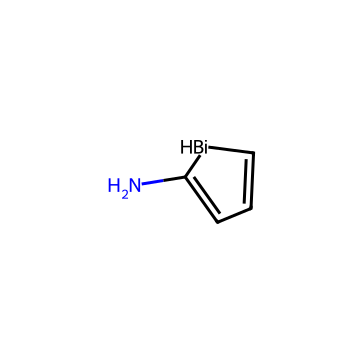 N[C]1=CC=[CH][BiH]1